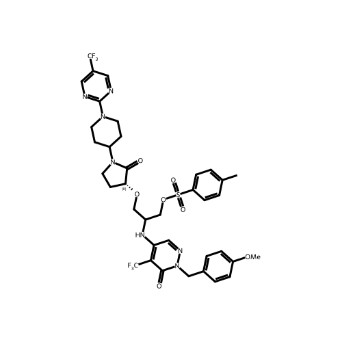 COc1ccc(Cn2ncc(NC(CO[C@@H]3CCN(C4CCN(c5ncc(C(F)(F)F)cn5)CC4)C3=O)COS(=O)(=O)c3ccc(C)cc3)c(C(F)(F)F)c2=O)cc1